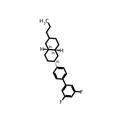 CCCC1CC[C@@H]2C[C@H](c3ccc(-c4cc(F)cc(F)c4)cc3)CC[C@@H]2C1